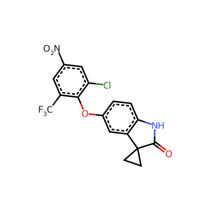 O=C1Nc2ccc(Oc3c(Cl)cc([N+](=O)[O-])cc3C(F)(F)F)cc2C12CC2